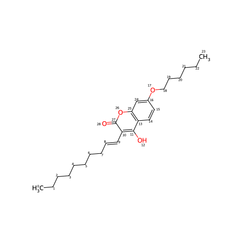 CCCCCCCCC=Cc1c(O)c2ccc(OCCCCCC)cc2oc1=O